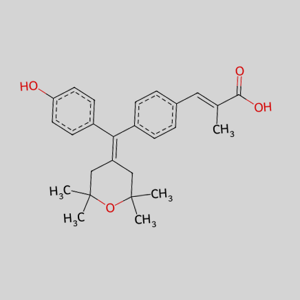 C/C(=C\c1ccc(C(=C2CC(C)(C)OC(C)(C)C2)c2ccc(O)cc2)cc1)C(=O)O